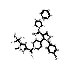 Cn1nc(C(=O)N2CCC(c3c(C(=O)N4CC[C@H](c5ccccc5)C4)cnn3-c3ccc(Cl)cc3)CC2)cc1C(F)(F)F